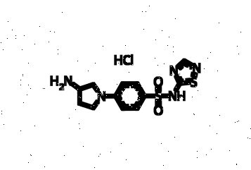 Cl.NC1CCN(c2ccc(S(=O)(=O)Nc3ncns3)cc2)C1